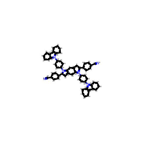 N#Cc1ccc(-c2cc3cc4c(cc(-c5ccc(C#N)cc5)n4-c4ccc(-n5c6ccccc6c6ccccc65)cc4)cc3n2-c2ccc(-n3c4ccccc4c4ccccc43)cc2)cc1